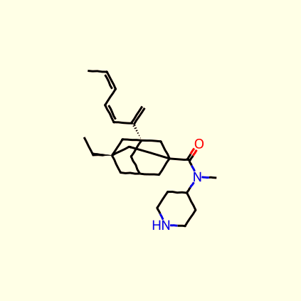 C=C(/C=C\C=C/C)[C@]12CC3CC(C(=O)N(C)C4CCNCC4)(C[C@](CC)(C3)C1)C2